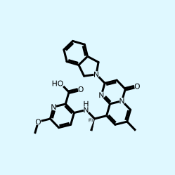 COc1ccc(N[C@H](C)c2cc(C)cn3c(=O)cc(N4Cc5ccccc5C4)nc23)c(C(=O)O)n1